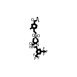 Cc1cc(C(=O)N(C)C)ccc1CCS(=O)(=O)N1CCC2(CC1)N=C(c1cc(C(F)(F)F)cc(C(F)(F)F)c1)NC2=O